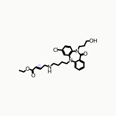 CCOC(=O)/C=C/CNCCCCN1c2ccccc2C(=O)N(CCCO)c2ccc(Cl)cc21